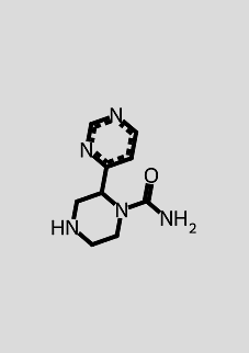 NC(=O)N1CCNCC1c1ccncn1